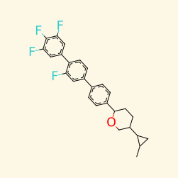 CC1CC1C1CCC(c2ccc(-c3ccc(-c4cc(F)c(F)c(F)c4)c(F)c3)cc2)OC1